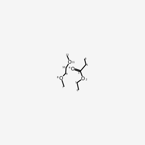 CCOC(=O)CC.COCCOC